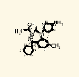 Cc1ccc2c(c1)N(c1ccc(N)cn1)CN(C(C)C)N=C2C1CCCCC1